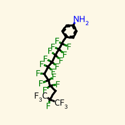 Nc1ccc(C(F)(F)C(F)(F)C(F)(F)C(F)(F)C(F)(F)C(F)C(F)(F)C(F)(F)CC(F)(C(F)(F)F)C(F)(F)F)cc1